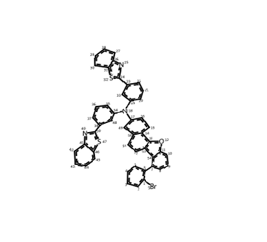 Brc1ccccc1-c1cccc2oc3c4ccc(N(c5cccc(-c6nc7ccccc7s6)c5)c5cccc(-c6nc7ccccc7s6)c5)cc4ccc3c12